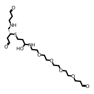 O=CCCNC[C@@H](CC=O)SCCC(O)NCCOCCOCCOCCOCCC=O